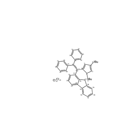 CCCCC1C=C(C(C)(C)C)C=[C]1[Zr+2](=[C](c1ccccc1)c1ccccc1)[c]1cccc2c1Cc1ccccc1-2.[Cl-].[Cl-]